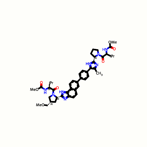 COC[C@H]1C[C@@H](c2nc3ccc4cc(-c5ccc(-c6[nH]c([C@@H]7CCCN7C(=O)C(NC(=O)OC)C(C)C)nc6C)cc5)ccc4c3[nH]2)N(C(=O)[C@@H](NC(=O)OC)C(C)C)C1